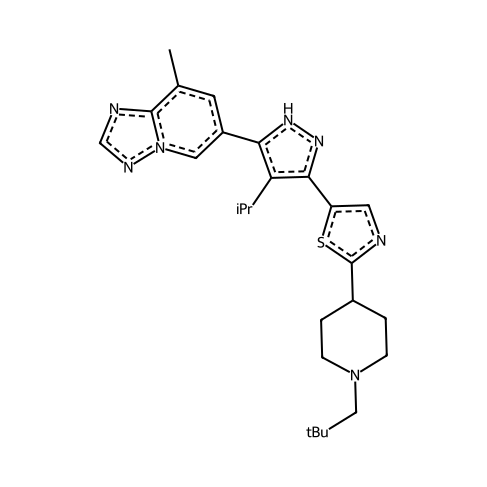 Cc1cc(-c2[nH]nc(-c3cnc(C4CCN(CC(C)(C)C)CC4)s3)c2C(C)C)cn2ncnc12